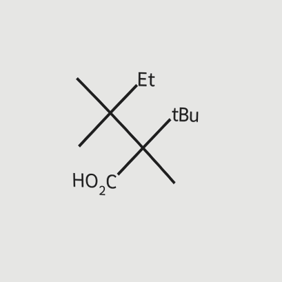 CCC(C)(C)C(C)(C(=O)O)C(C)(C)C